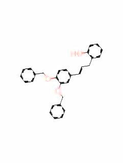 Oc1ccccc1C/C=C/c1ccc(OCc2ccccc2)c(OCc2ccccc2)c1